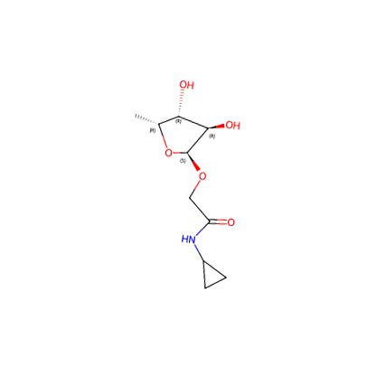 C[C@H]1O[C@H](OCC(=O)NC2CC2)[C@H](O)[C@H]1O